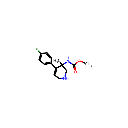 COC(=O)NC1(C)CNCC=C1c1ccc(F)cc1